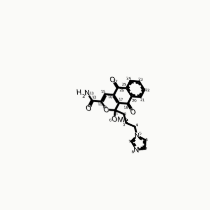 COC1(CCCn2ccnc2)OC(C(N)=O)=CC2=C1C(=O)c1ccccc1C2=O